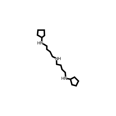 C(CCNC1CCCC1)CNCCCCNC1CCCC1